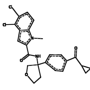 Cn1c(C(=O)NC2(c3ccc(C(=O)C4CC4)cc3)CCOC2)cc2c(Cl)c(Cl)ccc21